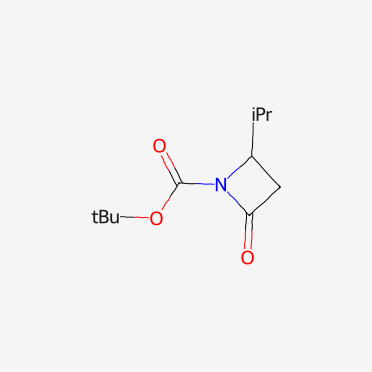 CC(C)C1CC(=O)N1C(=O)OC(C)(C)C